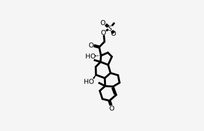 CC12CCC(=O)C=C1CCC1C2[C@@H](O)CC2(C)C1CC[C@]2(O)C(=O)COS(C)(=O)=O